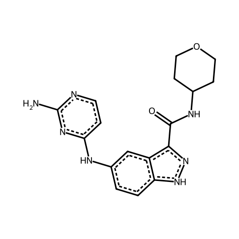 Nc1nccc(Nc2ccc3[nH]nc(C(=O)NC4CCOCC4)c3c2)n1